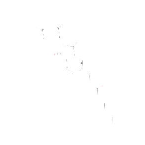 CCCCCC(=O)NCc1ccc2c(c1)C(=O)N([C@@]1(C)CCC(=O)NC1=O)C2=O